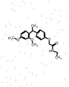 CCNC(=O)COc1ccc(C(C)c2ccc(OC)cc2OC)cc1